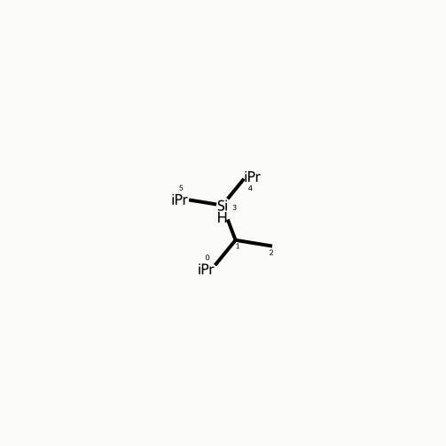 CC(C)C(C)[SiH](C(C)C)C(C)C